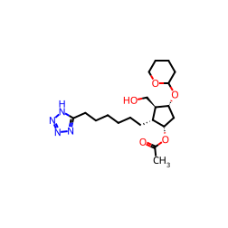 CC(=O)O[C@H]1C[C@@H](OC2CCCCO2)[C@H](CO)[C@H]1CCCCCCc1nnn[nH]1